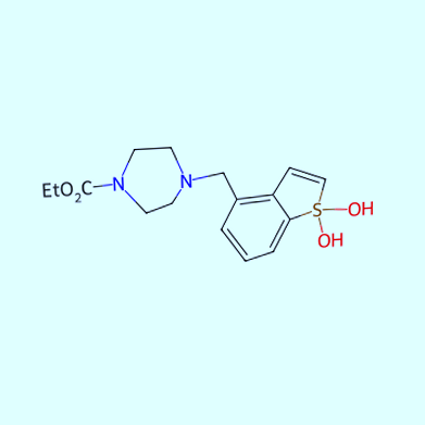 CCOC(=O)N1CCN(Cc2cccc3c2C=CS3(O)O)CC1